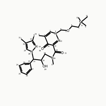 Cc1cn(COCC[Si](C)(C)C)nc(C(=O)N(C)CC(O)C(c2ccccc2)n2cc(I)c(I)n2)c1=O